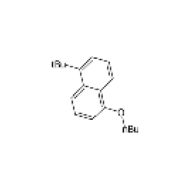 CCCCOc1cccc2c(C(C)(C)C)cccc12